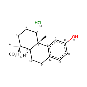 C[C@]1(C(=O)O)CCC[C@]2(C)c3cc(O)ccc3CC[C@@H]12.Cl